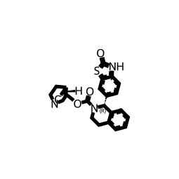 O=C(O[C@@H]1CN2CCC1CC2)N1CCc2ccccc2[C@H]1c1ccc2[nH]c(=O)sc2c1